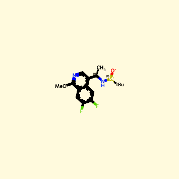 COc1ncc([C@@H](C)N[S@@+]([O-])C(C)(C)C)c2cc(F)c(F)cc12